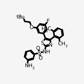 Cc1cccc(C)c1-c1nc(NS(=O)(=O)c2cccc(N)c2)sc1-c1cc(F)cc(OCCC(C)(C)C)c1